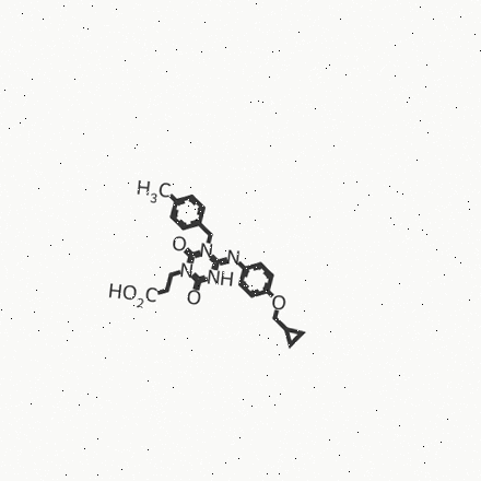 Cc1ccc(Cn2c(=O)n(CCC(=O)O)c(=O)[nH]/c2=N\c2ccc(OCC3CC3)cc2)cc1